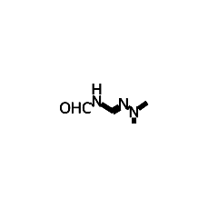 CN(C)N=CNC=O